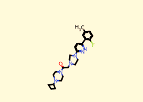 Cc1ccc(F)c(-c2ccc(N3CCN(CC(=O)N4CCN(C5CCC5)CC4)CC3)nn2)c1